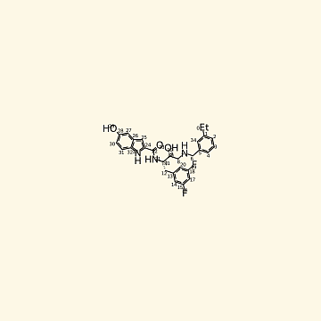 CCc1cccc(CNC[C@@H](O)[C@H](Cc2cc(F)cc(F)c2)NC(=O)c2cc3cc(O)ccc3[nH]2)c1